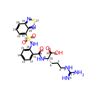 N=C(N)NCCC[C@H](NC(=O)c1ccccc1NS(=O)(=O)c1cccc2nsnc12)C(=O)O